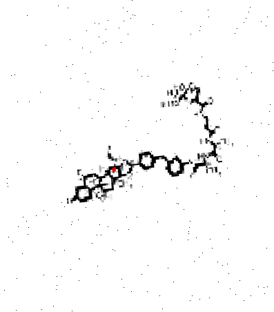 CCCCCCC(C)(C)SC(CC(=O)O)C(=O)NCCC(=O)N[C@@H](C)C(=O)N[C@@H](C)C(=O)Nc1cccc(Cc2ccc([C@@H]3O[C@@H]4C[C@H]5[C@@H]6C[C@H](F)C7=CC(=O)C=C[C@]7(C)[C@@]6(F)[C@@H](O)C[C@]5(C)[C@]4(C(=O)SCF)O3)cc2)c1